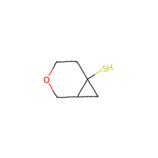 SC12CCOCC1C2